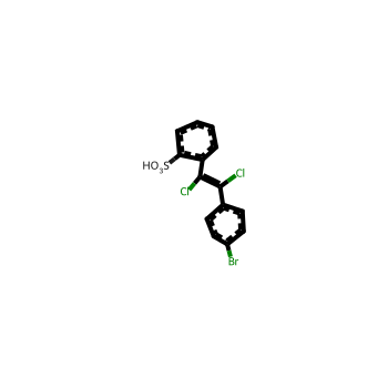 O=S(=O)(O)c1ccccc1/C(Cl)=C(\Cl)c1ccc(Br)cc1